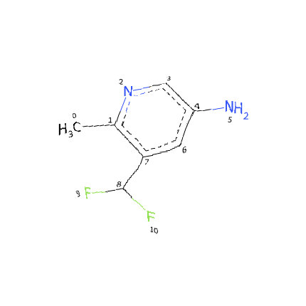 Cc1ncc(N)cc1C(F)F